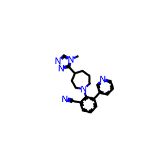 Cn1cnnc1C1CCCN(c2c(C#N)cccc2-c2cccnc2)CC1